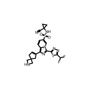 N#CC1(NS(=O)(=O)c2ccc3c(C4=CCC5(CNC5)C4)nc(-c4nnc(C(F)F)s4)n3c2)CC1